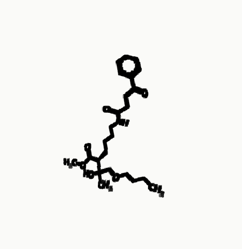 CCCCOCC(C)(O)[C@H](CCCCNC(=O)CCC(=O)c1ccccc1)C(=O)OC